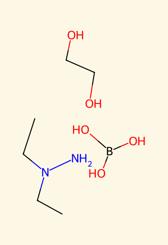 CCN(N)CC.OB(O)O.OCCO